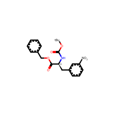 CC(C)(C)OC(=O)N[C@@H](Cc1cccc([N+](=O)[O-])c1)C(=O)OCc1ccccc1